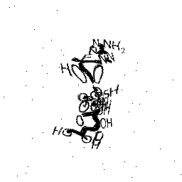 C#C[C@@]1(F)[C@H](O)[C@@H](COP(=O)(S)OP(=O)(O)OC2OC([C@@H](O)CO)C(O)C(O)C2O)O[C@H]1n1cnc2c(N)ncnc21